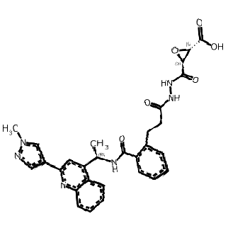 C[C@@H](NC(=O)c1ccccc1CCC(=O)NNC(=O)[C@H]1O[C@@H]1C(=O)O)c1cc(-c2cnn(C)c2)nc2ccccc12